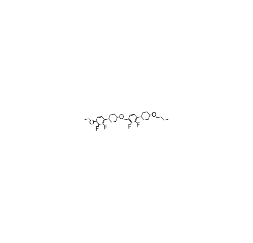 CCCCOC1CCC(c2ccc(COC3CCC(c4ccc(OCC)c(F)c4F)CC3)c(F)c2F)CC1